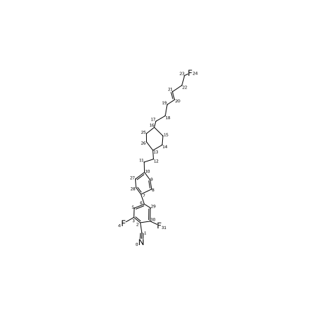 N#Cc1c(F)cc(-c2ccc(CCC3CCC(CCC/C=C/CCF)CC3)cc2)cc1F